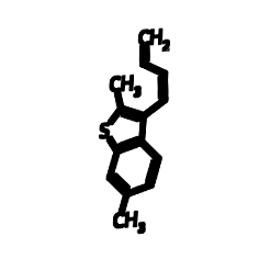 C=C/C=C\c1c(C)sc2cc(C)ccc12